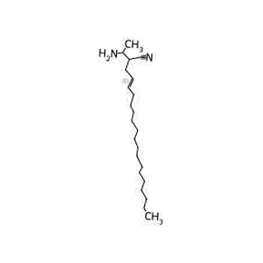 CCCCCCCCCCCCCCC/C=C/CC(C#N)C(C)N